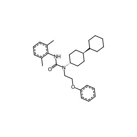 Cc1cccc(C)c1NC(=O)N(CCOc1ccccc1)[C@H]1CC[C@H](C2CCCCC2)CC1